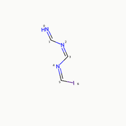 N=C/N=C\N=C/I